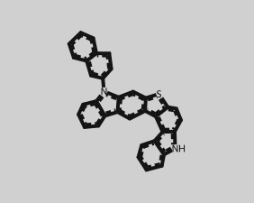 c1ccc2cc(-n3c4ccccc4c4cc5c(cc43)sc3ccc4[nH]c6ccccc6c4c35)ccc2c1